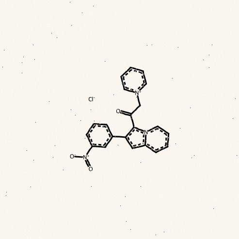 O=C(C[n+]1ccccc1)c1c(-c2cccc([N+](=O)[O-])c2)cc2ccccn12.[Cl-]